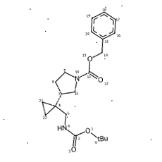 CC(C)(C)OC(=O)NCC1(C2CCN(C(=O)OCc3ccccc3)C2)CC1